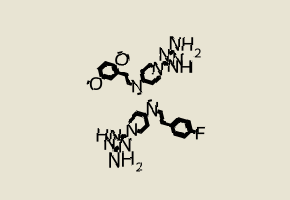 CN(CCc1ccc(F)cc1)C1CCN(c2nc(N)n[nH]2)CC1.COc1ccc(OC)c(CCN(C)C2CCN(c3nc(N)n[nH]3)CC2)c1